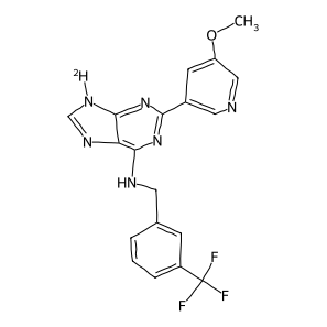 [2H]n1cnc2c(NCc3cccc(C(F)(F)F)c3)nc(-c3cncc(OC)c3)nc21